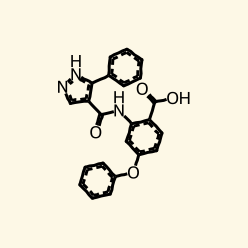 O=C(O)c1ccc(Oc2ccccc2)cc1NC(=O)c1cn[nH]c1-c1ccccc1